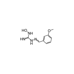 COc1cccc(/C=N/NC(=N)NO)c1